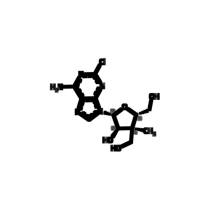 C[C@@]1(CO)[C@@H](CO)O[C@@H](n2cnc3c(N)nc(Cl)nc32)[C@@H]1O